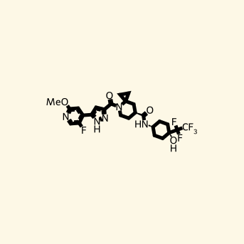 COc1cc(-c2cc(C(=O)N3CC[C@H](C(=O)N[C@H]4CC[C@](O)(C(F)(F)C(F)(F)F)CC4)CC34CC4)n[nH]2)c(F)cn1